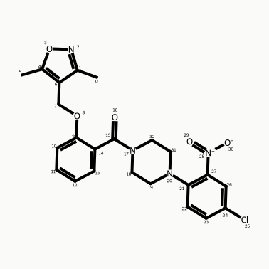 Cc1noc(C)c1COc1ccccc1C(=O)N1CCN(c2ccc(Cl)cc2[N+](=O)[O-])CC1